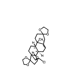 CC12CCC3(CC1=CC[C@@H]1[C@@H]2CCC2(C=CCl)[C@H]1CCC21OCCO1)OCCO3